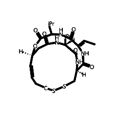 C/C=C1\NC(=O)[C@H]2CSSCCC=C[C@H](CC(=O)N[C@H](C(C)C)C(=O)N2)OC(=O)C(C(C)C)NC1=O